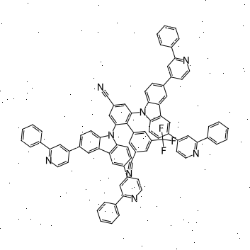 N#Cc1cc(-c2c(-n3c4ccc(-c5ccnc(-c6ccccc6)c5)cc4c4cc(-c5ccnc(-c6ccccc6)c5)ccc43)cc(C#N)cc2-n2c3ccc(-c4ccnc(-c5ccccc5)c4)cc3c3cc(-c4ccnc(-c5ccccc5)c4)ccc32)cc(C(F)(F)F)c1